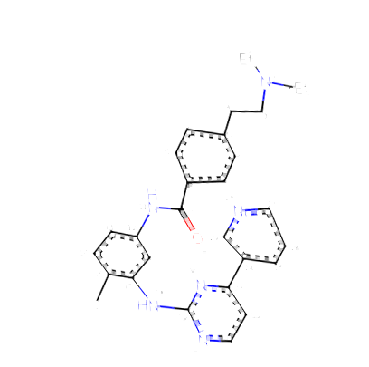 CCN(CC)CCc1ccc(C(=O)Nc2ccc(C)c(Nc3nccc(-c4cccnc4)n3)c2)cc1